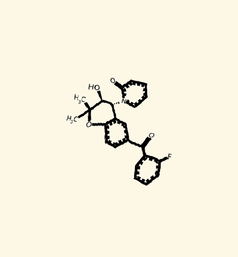 CC1(C)Oc2ccc(C(=O)c3ccccc3F)cc2[C@@H](n2ccccc2=O)[C@@H]1O